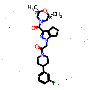 C[C@@H]1CN(C(=O)c2nn(CC(=O)N3CCC(c4cccc(F)c4)CC3)c3c2CCC3)C[C@H](C)O1